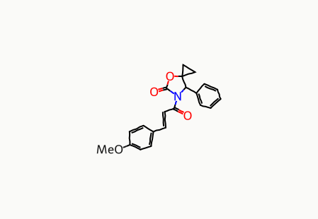 COc1ccc(C=CC(=O)N2C(=O)OC3(CC3)C2c2ccccc2)cc1